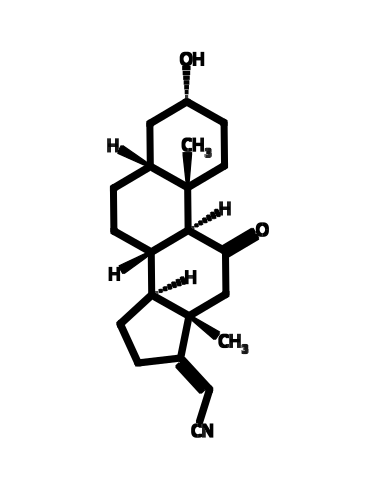 C[C@]12CC[C@@H](O)C[C@H]1CC[C@@H]1[C@@H]2C(=O)C[C@]2(C)C(=CC#N)CC[C@@H]12